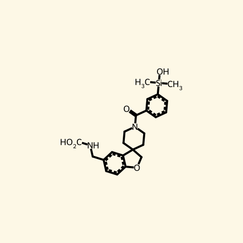 C[Si](C)(O)c1cccc(C(=O)N2CCC3(CC2)COc2ccc(CNC(=O)O)cc23)c1